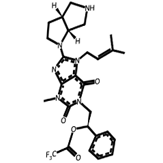 CC(C)=CCn1c(N2CC[C@@H]3CNC[C@@H]32)nc2c1c(=O)n(C[C@H](OC(=O)C(F)(F)F)c1ccccc1)c(=O)n2C